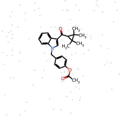 CC(=O)Oc1ccc(Cn2cc(C(=O)C3C(C)(C)C3(C)C)c3ccccc32)cc1